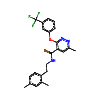 Cc1ccc(CCNC(=S)c2cc(C)nnc2Oc2cccc(C(F)(F)F)c2)c(C)c1